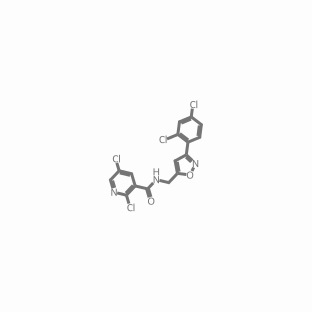 O=C(NCc1cc(-c2ccc(Cl)cc2Cl)no1)c1cc(Cl)cnc1Cl